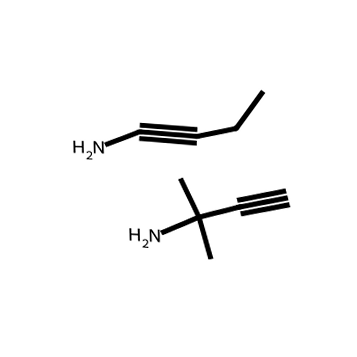 C#CC(C)(C)N.CCC#CN